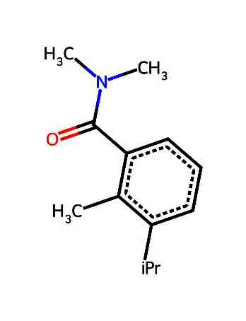 Cc1c(C(=O)N(C)C)cccc1C(C)C